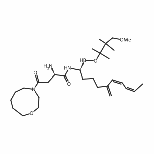 C=C(/C=C\C=C/C)CCC[C@H](BOC(C)(C)C(C)(C)COC)NC(=O)[C@H](N)CC(=O)N1CCCCCOCC1